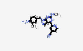 CNc1nc(-c2cc(C#N)ccn2)c2cnn(Cc3ccc(N)c(C)c3)c2n1